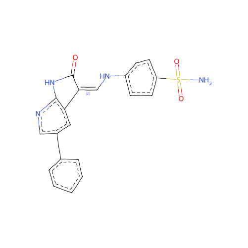 NS(=O)(=O)c1ccc(N/C=C2\C(=O)Nc3ncc(-c4ccccc4)cc32)cc1